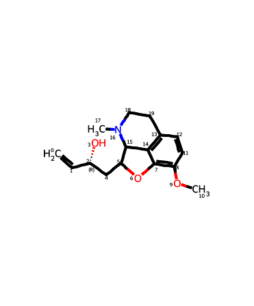 C=C[C@H](O)CC1Oc2c(OC)ccc3c2C1N(C)CC3